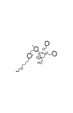 C=CCOCCCCc1ccc(Cc2cc([C@@H]3O[C@](C=O)(CO)C[C@H](OCc4ccccc4)[C@H]3OCc3ccccc3)ccc2C)cc1